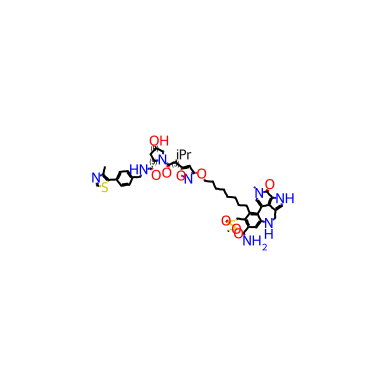 Cc1ncsc1-c1ccc(CNC(=O)[C@@H]2C[C@@H](O)CN2C(=O)[C@H](c2cc(OCCCCCCCCc3c(CS(C)(=O)=O)c(C(N)=O)cc4c3-c3cn(C)c(=O)c5[nH]cc(c35)CN4)no2)C(C)C)cc1